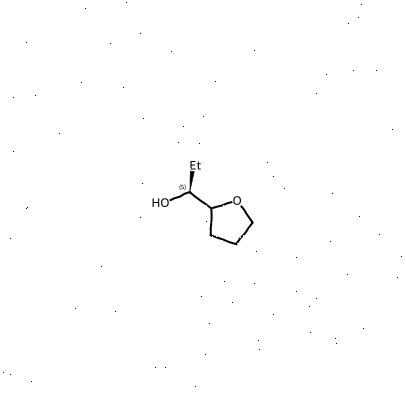 CC[C@H](O)C1CCCO1